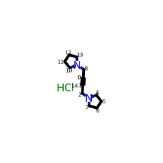 C(#CCN1CCCC1)CN1CCCC1.Cl